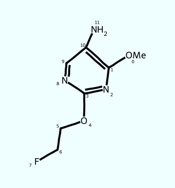 COc1nc(OCCF)ncc1N